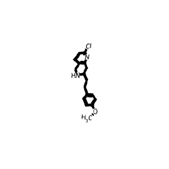 COc1ccc(CCC2Cc3nc(Cl)ccc3CN2)cc1